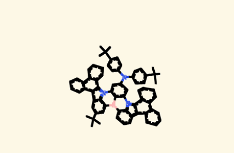 CC(C)(C)c1ccc(N(c2ccc(C(C)(C)C)cc2)c2cc3c4c(c2)-n2c5c(cc(C(C)(C)C)cc5c5c6ccccc6c6ccccc6c52)B4c2cccc4c5c6ccccc6c6ccccc6c5n-3c24)cc1